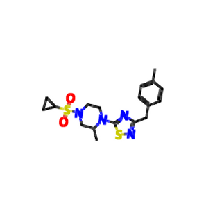 Cc1ccc(Cc2nsc(N3CCN(S(=O)(=O)C4CC4)CC3C)n2)cc1